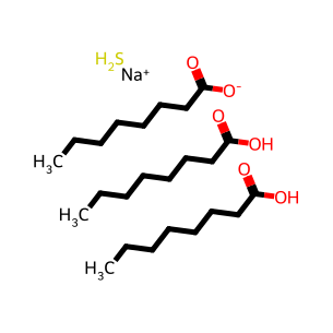 CCCCCCCC(=O)O.CCCCCCCC(=O)O.CCCCCCCC(=O)[O-].S.[Na+]